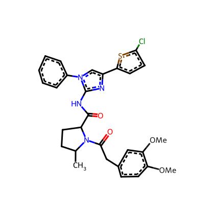 COc1ccc(CC(=O)N2C(C)CCC2C(=O)Nc2nc(-c3ccc(Cl)s3)cn2-c2ccccc2)cc1OC